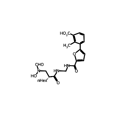 CCCCCC[C@H](CN(O)C=O)C(=O)NCNC(=O)c1ccc(-c2cccc(C(=O)O)c2C)o1